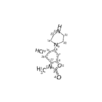 Cl.Cn1c(=O)oc2cc(N3CCNCC3)ccc21